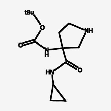 CC(C)(C)OC(=O)NC1(C(=O)NC2CC2)CCNC1